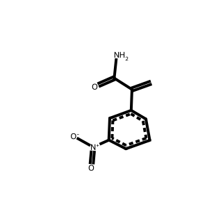 C=C(C(N)=O)c1cccc([N+](=O)[O-])c1